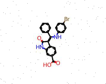 O=C1Nc2cc(C(=O)O)ccc2C1=C(Nc1ccc(Br)cc1)c1ccccc1